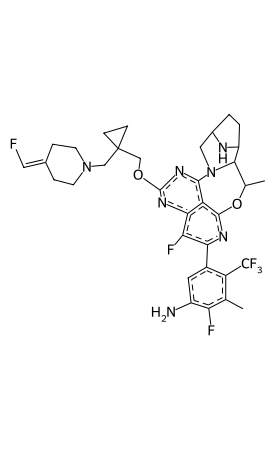 Cc1c(F)c(N)cc(-c2nc3c4c(nc(OCC5(CN6CCC(=CF)CC6)CC5)nc4c2F)N2CC4CCC(N4)C2C(C)O3)c1C(F)(F)F